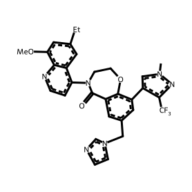 CCc1cc(OC)c2nccc(N3CCOc4c(cc(Cn5ccnc5)cc4-c4cn(C)nc4C(F)(F)F)C3=O)c2c1